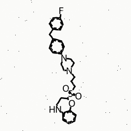 O=S(=O)(CCCN1CCN(c2ccc(Cc3ccc(F)cc3)cc2)CC1)C1CCNc2ccccc2O1